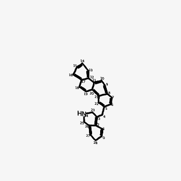 C1=CC2=C(Cc3ccc4ccc5c6ccccc6ccc5c4c3)CNCC2=CC1